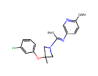 COc1ccc(/N=C(\SC)N2CC(C)(Oc3cccc(F)c3)C2)cn1